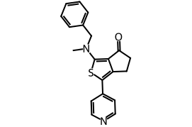 CN(Cc1ccccc1)c1sc(-c2ccncc2)c2c1C(=O)CC2